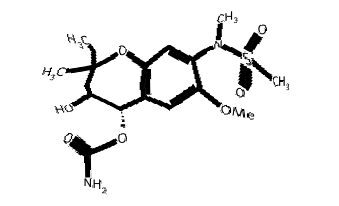 COc1cc2c(cc1N(C)S(C)(=O)=O)OC(C)(C)C(O)[C@H]2OC(N)=O